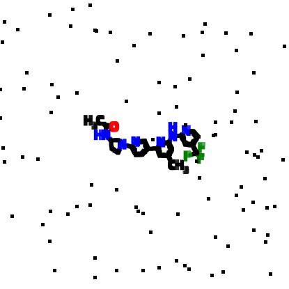 CC(=O)NC1CCN(c2ccc(-c3cc(C)cc(Nc4cc(C(F)(F)F)ccn4)n3)cn2)C1